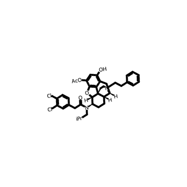 CC(=O)Oc1cc(O)c2c3c1O[C@H]1[C@H](N(CC(C)C)C(=O)Cc4ccc(Cl)c(Cl)c4)CC[C@H]4[C@@H](C2)N(CCc2ccccc2)CC[C@@]341